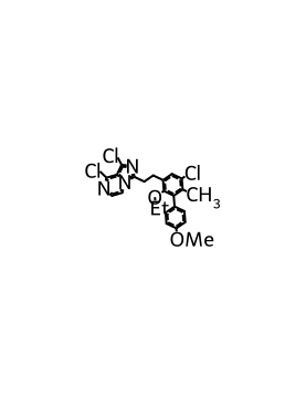 CCOc1c(CCc2nc(Cl)c3c(Cl)nccn23)cc(Cl)c(C)c1-c1ccc(OC)cc1